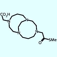 CSC(=O)CN1CCCN2CCN(CCCN(CC(=O)O)CC2)CC1